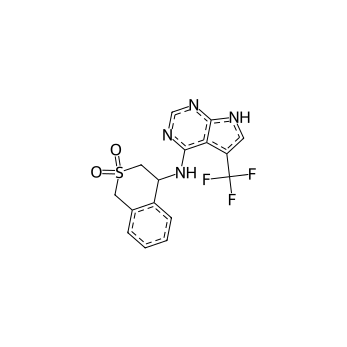 O=S1(=O)Cc2ccccc2C(Nc2ncnc3[nH]cc(C(F)(F)F)c23)C1